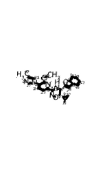 COc1nc(C2=NO[C@@H](C3CC3)[C@@H](c3cc4ccccc4o3)N2)ccc1-n1cnc(C)c1